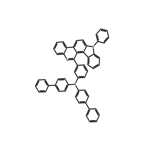 c1ccc(-c2ccc(N(c3ccc(-c4ccccc4)cc3)c3cccc(-c4nc5ccccc5c5ccc6c(c7ccccc7n6-c6ccccc6)c45)c3)cc2)cc1